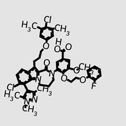 COc1cc(C(=O)O)cc(N2CCCn3c(c(CCCOc4cc(C)c(Cl)c(C)c4)c4ccc(Cl)c(-c5c(C)nn(C)c5C)c43)C2=O)c1OCCOc1ccccc1F